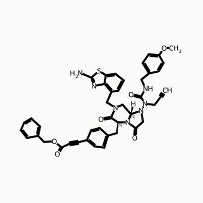 C#CCN(C(=O)NCc1ccc(OC)cc1)N1CC(=O)N2[C@@H](Cc3ccc(C#CC(=O)OCc4ccccc4)cc3)C(=O)N(Cc3cccc4sc(N)nc34)C[C@@H]21